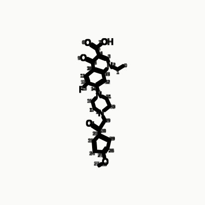 CCn1cc(C(=O)O)c(=O)c2cc(F)c(N3CCN(CC(=O)c4ccc(OC)cc4)CC3)cc21